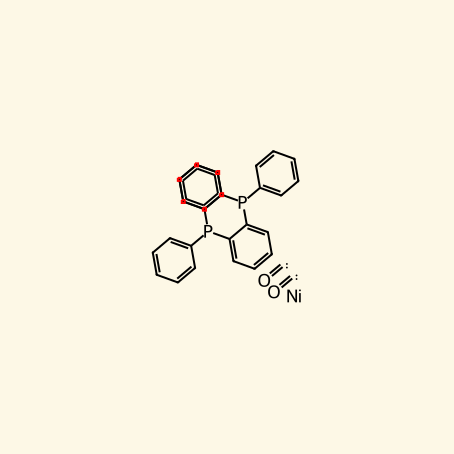 [C]=O.[C]=O.[Ni].c1ccc(P(c2ccccc2)c2ccccc2P(c2ccccc2)c2ccccc2)cc1